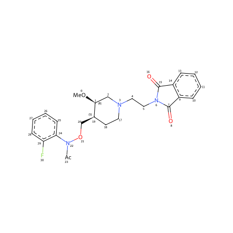 CO[C@H]1CN(CCN2C(=O)c3ccccc3C2=O)CC[C@H]1CON(C(C)=O)c1ccccc1F